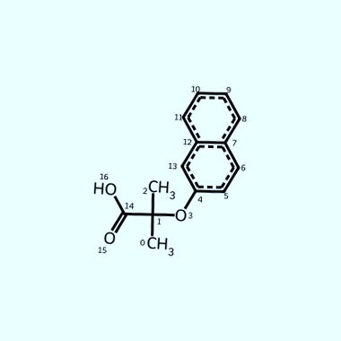 CC(C)(Oc1ccc2ccccc2c1)C(=O)O